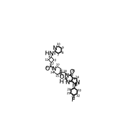 O=C(C1CC(Nc2ccccn2)C1)N1CCC(O)(Cn2cnc3c(cnn3-c3ccc(F)cc3)c2=O)CC1